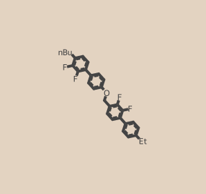 CCCCc1ccc(-c2ccc(OCc3ccc(-c4ccc(CC)cc4)c(F)c3F)cc2)c(F)c1F